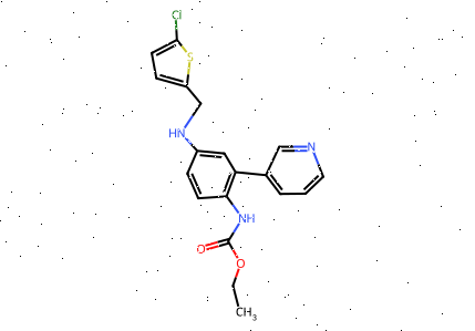 CCOC(=O)Nc1ccc(NCc2ccc(Cl)s2)cc1-c1cccnc1